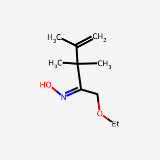 C=C(C)C(C)(C)C(COCC)=NO